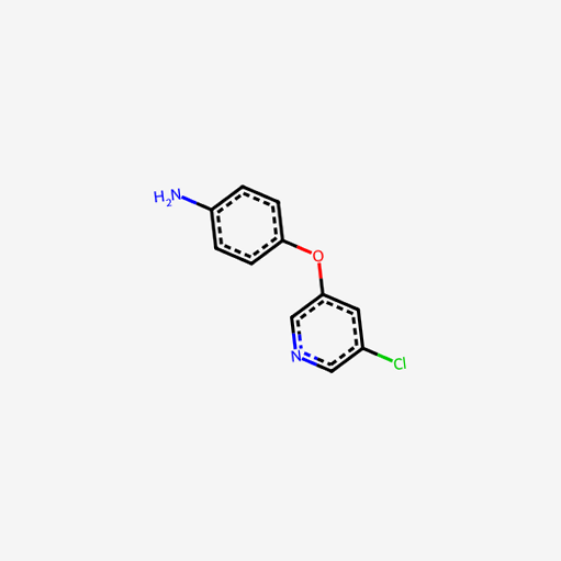 Nc1ccc(Oc2cncc(Cl)c2)cc1